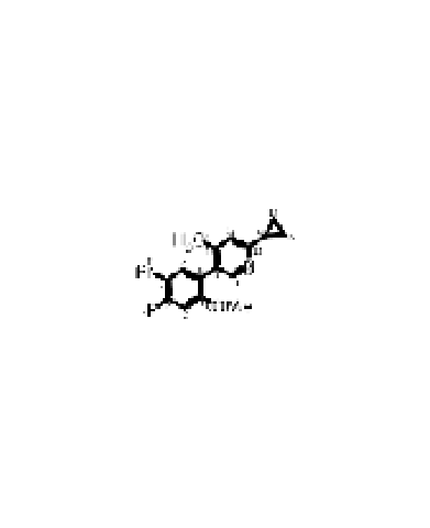 COc1cc(F)c(C(C)C)cc1-c1cnc(C2CC2)cc1C